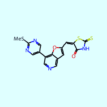 CSc1ncc(-c2cncc3cc(/C=C4/SC(=S)NC4=O)oc23)cn1